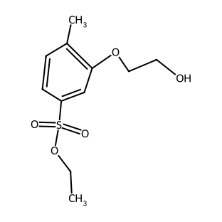 CCOS(=O)(=O)c1ccc(C)c(OCCO)c1